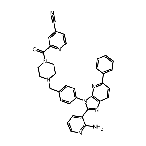 N#Cc1ccnc(C(=O)N2CCN(Cc3ccc(-n4c(-c5cccnc5N)nc5ccc(-c6ccccc6)nc54)cc3)CC2)c1